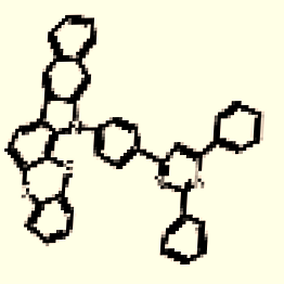 c1ccc(-c2cc(-c3ccc(-n4c5cc6ccccc6cc5c5ccc6c(c54)Sc4ccccc4S6)cc3)nc(-c3ccccc3)n2)cc1